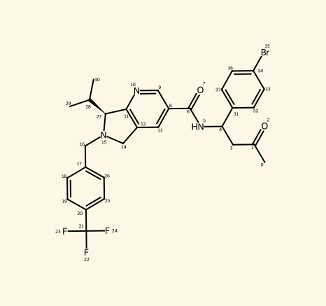 CC(=O)CC(NC(=O)c1cnc2c(c1)CN(Cc1ccc(C(F)(F)F)cc1)[C@H]2C(C)C)c1ccc(Br)cc1